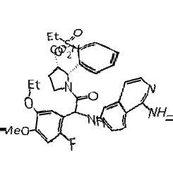 CCOc1cc(C(Nc2ccc3c(N)nccc3c2)C(=O)N2CC[C@H](C(=O)O)[C@@H]2c2ccccc2S(=O)(=O)CC)c(F)cc1OC